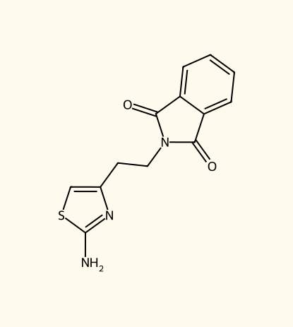 Nc1nc(CCN2C(=O)c3ccccc3C2=O)cs1